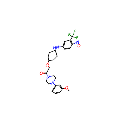 COc1cccc(N2CCN(C(=O)COC3CCC(Nc4ccc(N=O)c(C(F)(F)F)c4)CC3)CC2)c1